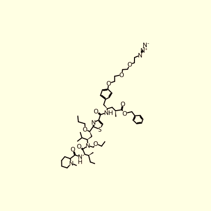 CCCO[C@H](C[C@H](C(C)C)N(COCC)C(=O)[C@@H](NC(=O)C1CCCCN1C)[C@@H](C)CC)c1nc(C(=O)N[C@@H](Cc2ccc(OCCOCCOCCN=[N+]=[N-])cc2)C[C@H](C)C(=O)OCc2ccccc2)cs1